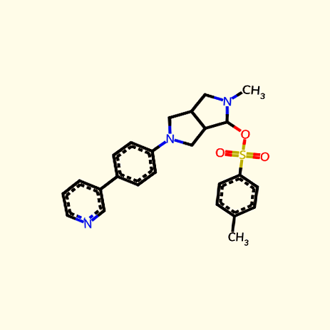 Cc1ccc(S(=O)(=O)OC2C3CN(c4ccc(-c5cccnc5)cc4)CC3CN2C)cc1